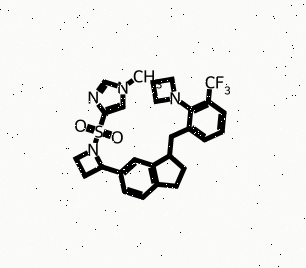 Cn1cnc(S(=O)(=O)N2CCC2c2ccc3c(c2)C(Cc2cccc(C(F)(F)F)c2N2CCC2)CC3)c1